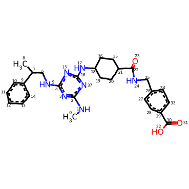 CNc1nc(NCC(C)c2ccccc2)nc(NC2CCC(C(=O)NCc3ccc(C(=O)O)cc3)CC2)n1